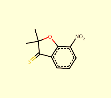 CC1(C)Oc2c(cccc2[N+](=O)[O-])C1=S